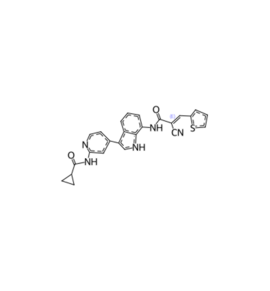 N#C/C(=C\c1cccs1)C(=O)Nc1cccc2c(-c3ccnc(NC(=O)C4CC4)c3)c[nH]c12